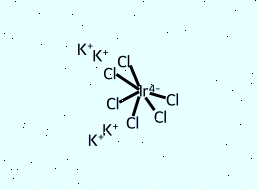 [Cl][Ir-4]([Cl])([Cl])([Cl])([Cl])[Cl].[K+].[K+].[K+].[K+]